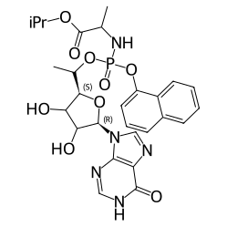 CC(C)OC(=O)C(C)NP(=O)(Oc1cccc2ccccc12)OC(C)[C@H]1O[C@@H](n2cnc3c(=O)[nH]cnc32)C(O)C1O